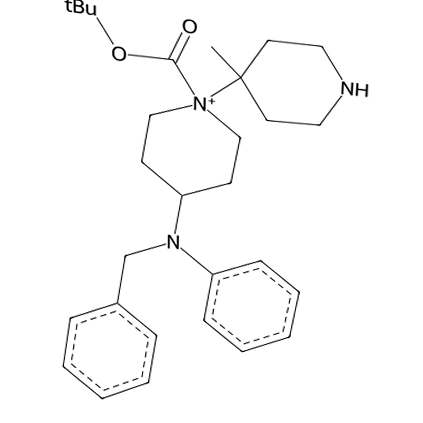 CC(C)(C)OC(=O)[N+]1(C2(C)CCNCC2)CCC(N(Cc2ccccc2)c2ccccc2)CC1